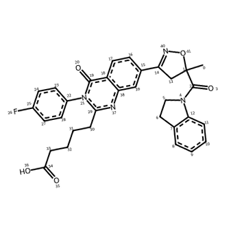 CC1(C(=O)N2CCc3ccccc32)CC(c2ccc3c(=O)n(-c4ccc(F)cc4)c(CCCCC(=O)O)nc3c2)=NO1